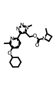 Cc1nc(-c2nnn(C)c2COC(=O)N2CCC2C)ccc1OC1CCCCC1